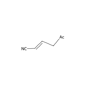 CC(=O)CC=CC#N